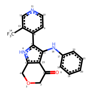 O=C1COCc2[nH]c(-c3ccncc3C(F)(F)F)c(Nc3ccccc3)c21